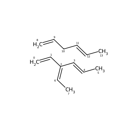 C=CC(C=CC)=CC.C=CCC=CC